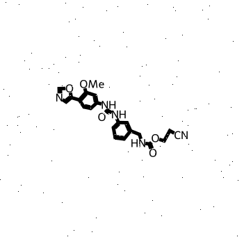 COc1cc(NC(=O)Nc2cccc(CNC(=O)OCCC#N)c2)ccc1-c1cnco1